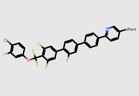 CCCCCc1ccc(-c2ccc(-c3ccc(-c4cc(F)c(C(F)(F)Oc5ccc(Cl)c(F)c5)c(F)c4)c(F)c3)cc2)nc1